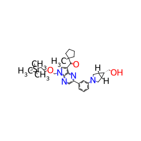 CC1(C(=O)c2cn(COCC[Si](C)(C)C)c3ncc(-c4cccc(N5C[C@@H]6[C@H](CO)[C@@H]6C5)c4)nc23)CCCC1